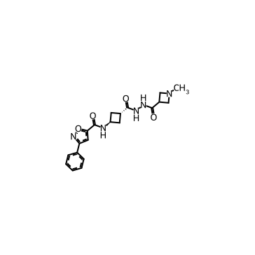 CN1CC(C(=O)NNC(=O)[C@H]2C[C@H](NC(=O)c3cc(-c4ccccc4)no3)C2)C1